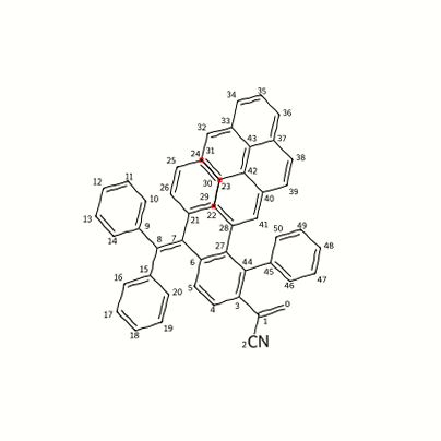 C=C(C#N)c1ccc(C(=C(c2ccccc2)c2ccccc2)c2ccccc2)c(-c2cc3ccc4cccc5ccc(c2)c3c45)c1-c1ccccc1